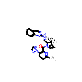 Cc1ccc(-n2nccn2)c(C(=O)N2C3CC(C3)[C@H](C)C2CNc2ncc3ccccc3n2)n1